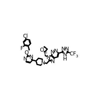 Fc1cc(Cl)ccc1COc1nccc(C2CCN(Cc3nc4cc(-c5nnc(C(F)(F)F)[nH]5)nnc4n3C[C@@H]3CCO3)CC2)n1